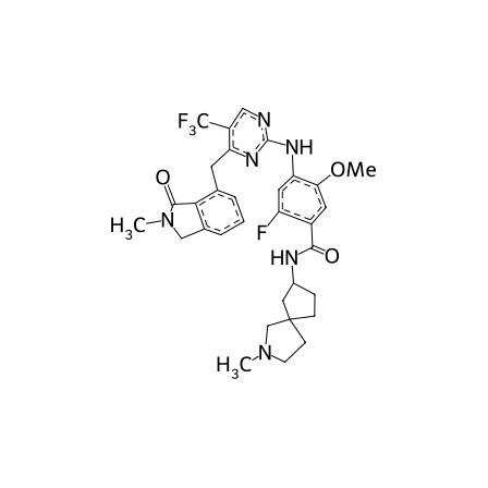 COc1cc(C(=O)NC2CCC3(CCN(C)C3)C2)c(F)cc1Nc1ncc(C(F)(F)F)c(Cc2cccc3c2C(=O)N(C)C3)n1